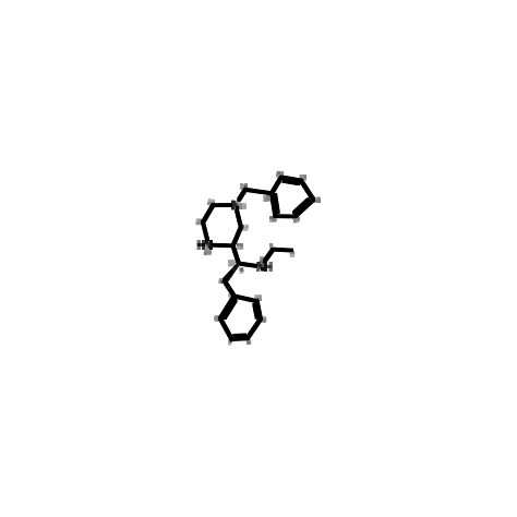 CCN[C@@H](Cc1ccccc1)C1CN(Cc2ccccc2)CCN1